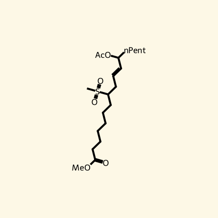 CCCCCC(C=CCC(CCCCCCC(=O)OC)S(C)(=O)=O)OC(C)=O